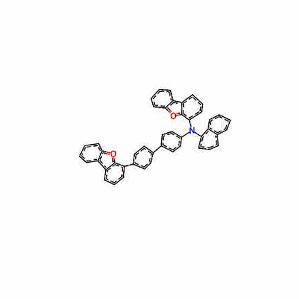 c1ccc2c(N(c3ccc(-c4ccc(-c5cccc6c5oc5ccccc56)cc4)cc3)c3cccc4c3oc3ccccc34)cccc2c1